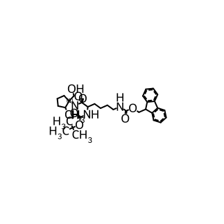 CC1CCC[C@@]1(NC(=O)C(CCCCNC(=O)OCC1c2ccccc2-c2ccccc21)NC(=O)OC(C)(C)C)C(=O)O